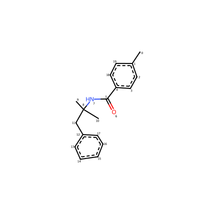 [CH2]c1ccc(C(=O)NC(C)(C)Cc2ccccc2)cc1